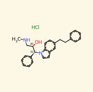 CNC[C@@H](O)[C@H](c1ccccc1)n1ccc2cc(CCc3ccccc3)ccc21.Cl